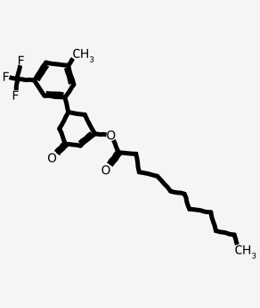 CCCCCCCCCCC(=O)OC1=CC(=O)CC(c2cc(C)cc(C(F)(F)F)c2)C1